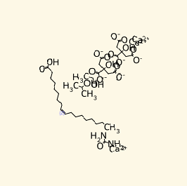 CC(C)O.CCCCCCCC/C=C\CCCCCCCC(=O)O.CCO.NC(N)=O.O=C([O-])CC(O)(CC(=O)[O-])C(=O)[O-].O=C([O-])CC(O)(CC(=O)[O-])C(=O)[O-].[Ca+2].[Ca+2].[Ca+2]